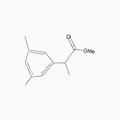 COC(=O)C(C)c1cc(C)cc(C)c1